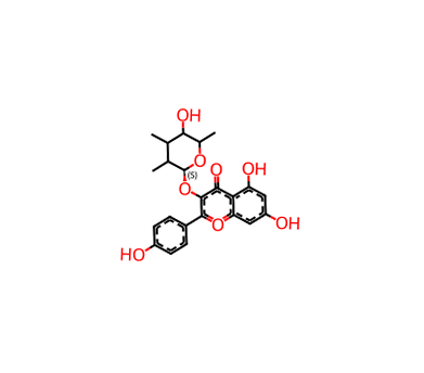 CC1O[C@@H](Oc2c(-c3ccc(O)cc3)oc3cc(O)cc(O)c3c2=O)C(C)C(C)C1O